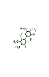 CNc1c(C)c(F)c(F)c(-c2c(F)c(C)c(C)c(F)c2F)c1F